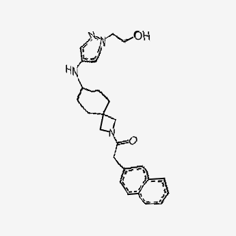 O=C(Cc1ccc2ccccc2c1)N1CC2(CCC(Nc3cnn(CCO)c3)CC2)C1